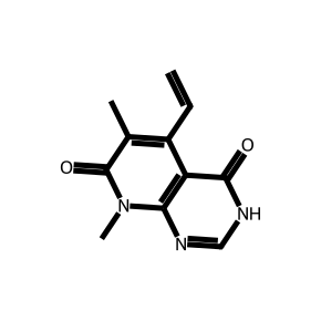 C=Cc1c(C)c(=O)n(C)c2nc[nH]c(=O)c12